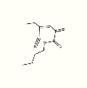 C=C(C=C(C#N)CC)C(=O)OCCCC